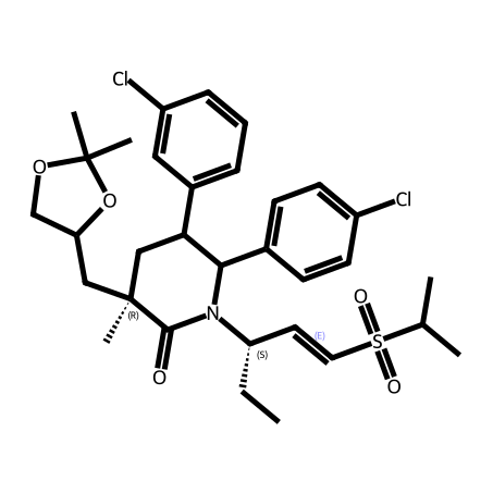 CC[C@@H](/C=C/S(=O)(=O)C(C)C)N1C(=O)[C@@](C)(CC2COC(C)(C)O2)CC(c2cccc(Cl)c2)C1c1ccc(Cl)cc1